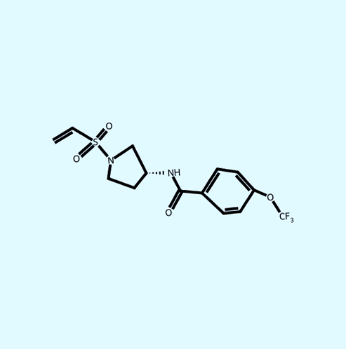 C=CS(=O)(=O)N1CC[C@@H](NC(=O)c2ccc(OC(F)(F)F)cc2)C1